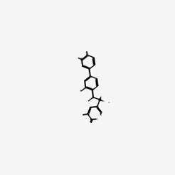 CCc1cc(C(O)(C(C)c2ccc(-c3ccc(F)c(C(=O)O)c3)cc2Cl)C(F)(F)F)c[nH]c1=O